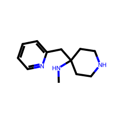 CNC1(Cc2ccccn2)CCNCC1